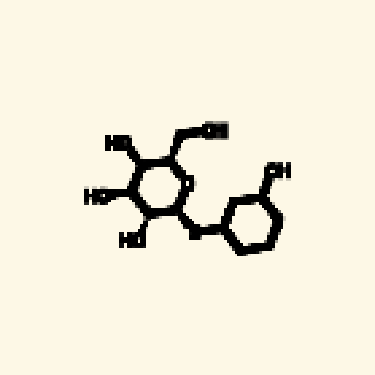 OC[C@H]1O[C@@H](SC2CCCC(O)C2)[C@H](O)[C@@H](O)[C@H]1O